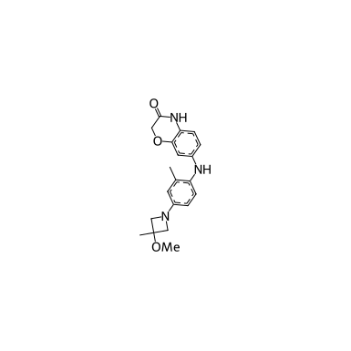 COC1(C)CN(c2ccc(Nc3ccc4c(c3)OCC(=O)N4)c(C)c2)C1